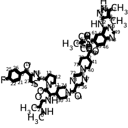 CNC(C)C(=O)NC(C(=O)N1CCC[C@H]1c1nc(C(=O)c2ccc(F)cc2)cs1)C1CCN(C(=O)c2cnc(N3CCC(COc4cc5ncnc(Nc6n[nH]c(C)c6C)c5cc4S(=O)(=O)C(C)(C)C)CC3)cn2)CC1